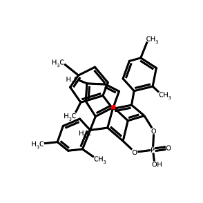 Cc1ccc(-c2c3c(-c4ccc(C)cc4C)c(-c4ccc(C)cc4C)c(-c4ccc(C)cc4C)c2OP(=O)(O)O3)c(C)c1